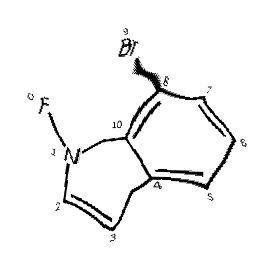 Fn1ccc2cccc(Br)c21